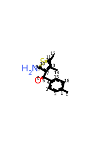 Cc1ccc(C(=O)c2c(N)sc(C)c2C)cc1